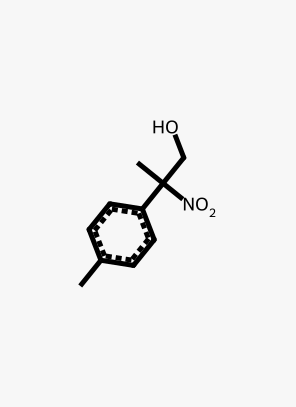 Cc1ccc(C(C)(CO)[N+](=O)[O-])cc1